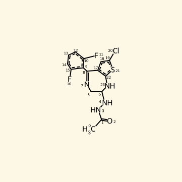 CC(=O)NNC1CN=C(c2c(F)cccc2F)c2cc(Cl)sc2N1